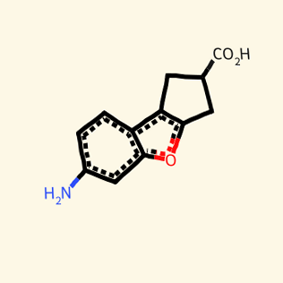 Nc1ccc2c3c(oc2c1)CC(C(=O)O)C3